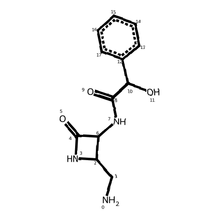 NCC1NC(=O)C1NC(=O)C(O)c1ccccc1